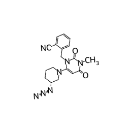 Cn1c(=O)cc(N2CCC[C@@H](N=[N+]=[N-])C2)n(Cc2ccccc2C#N)c1=O